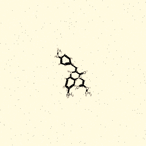 COC(=O)CN1C(=O)C(Cc2ccc(OC)cc2)Sc2ccc(N)cc21